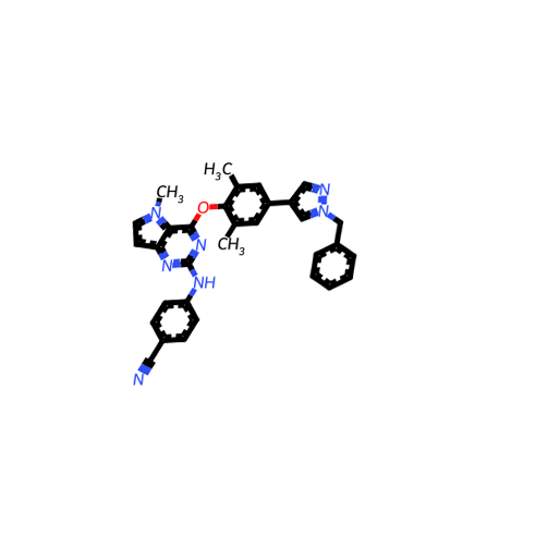 Cc1cc(-c2cnn(Cc3ccccc3)c2)cc(C)c1Oc1nc(Nc2ccc(C#N)cc2)nc2ccn(C)c12